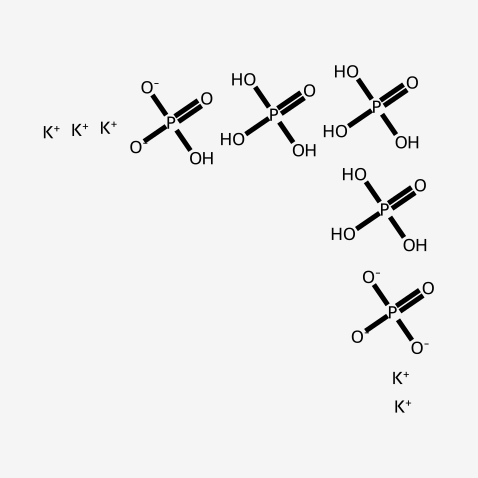 O=P(O)(O)O.O=P(O)(O)O.O=P(O)(O)O.O=P([O-])([O-])O.O=P([O-])([O-])[O-].[K+].[K+].[K+].[K+].[K+]